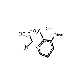 CCOC(=O)CN.COc1cccnc1C(=O)O.Cl